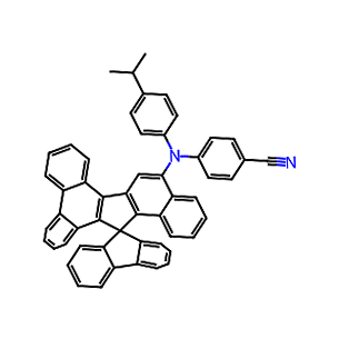 CC(C)c1ccc(N(c2ccc(C#N)cc2)c2cc3c(c4ccccc24)C2(c4ccccc4-c4ccccc42)c2c-3c3ccccc3c3ccccc23)cc1